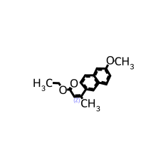 CCOC(=O)/C=C(/C)c1ccc2cc(OC)ccc2c1